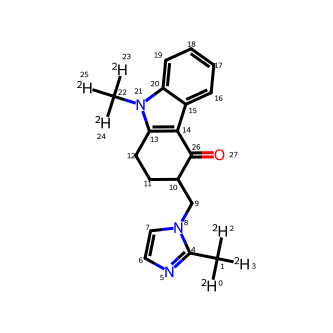 [2H]C([2H])([2H])c1nccn1CC1CCc2c(c3ccccc3n2C([2H])([2H])[2H])C1=O